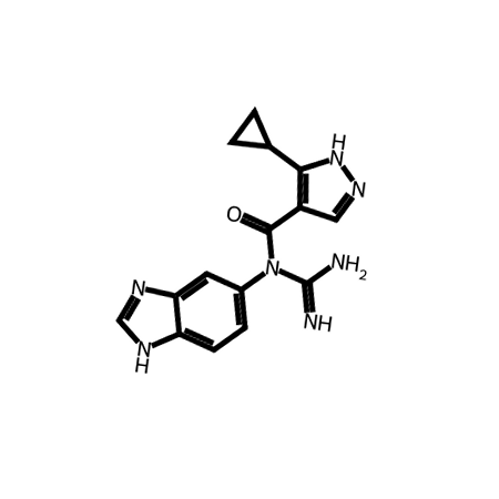 N=C(N)N(C(=O)c1cn[nH]c1C1CC1)c1ccc2[nH]cnc2c1